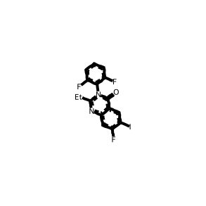 CCc1nc2cc(F)c(I)cc2c(=O)n1-c1c(F)cccc1F